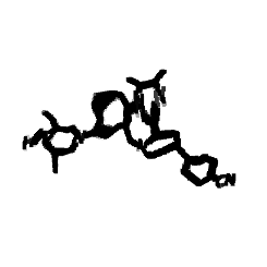 Cc1nc2n(c1C)-c1ccc(N3CC(C)NC(C)C3)cc1Cn1cc(-c3ccc(C#N)cc3)cc1-2